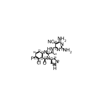 C[C@H](Nc1nc(N)nc(N)c1C#N)c1nc2ccc(F)c(Cl)c2c(=O)n1-c1cn[nH]c1